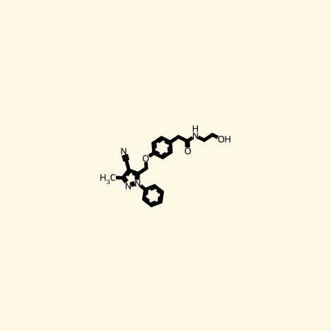 Cc1nn(-c2ccccc2)c(COc2ccc(CC(=O)NCCO)cc2)c1C#N